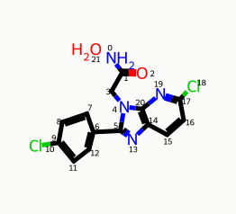 NC(=O)Cn1c(-c2ccc(Cl)cc2)nc2ccc(Cl)nc21.O